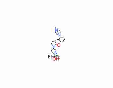 CCC(O)(CC)c1ccc(N2CCC(Cc3ccccc3N3CCN(C)CC3)C2=O)cn1